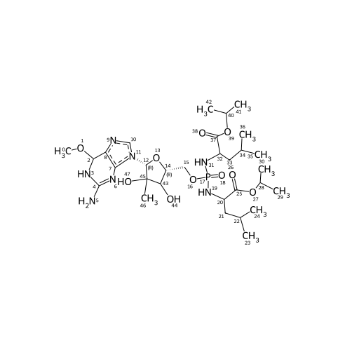 COC1NC(N)=Nc2c1ncn2[C@@H]1O[C@H](COP(=O)(NC(CC(C)C)C(=O)OC(C)C)NC(CC(C)C)C(=O)OC(C)C)C(O)C1(C)O